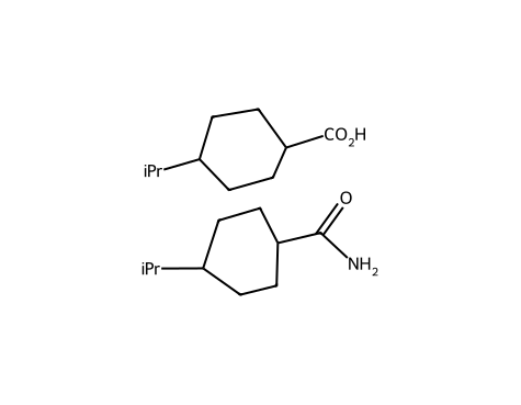 CC(C)C1CCC(C(=O)O)CC1.CC(C)C1CCC(C(N)=O)CC1